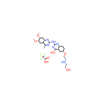 COc1cc2nc(Nc3nc(O)c4cc(OCCNCCO)ccc4n3)nc(C)c2cc1OC.O=C(O)C(F)(F)F